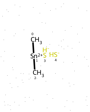 [CH3][Sn+2][CH3].[SH-].[SH-]